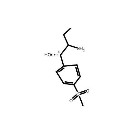 CCC(N)[C@@H](O)c1ccc(S(C)(=O)=O)cc1